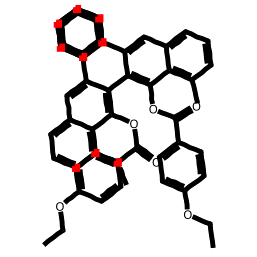 CCOc1ccc(C(=O)Oc2c(-c3c(-c4ccccc4)cc4cccc(OC)c4c3OC(=O)c3ccc(OCC)cc3)c(-c3ccccc3)cc3cccc(C)c23)cc1